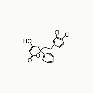 O=C1C=C(O)CC(CCc2ccc(Cl)c(Cl)c2)(c2ccccc2)O1